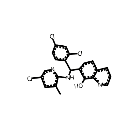 Cc1cc(Cl)cnc1NC(c1ccc(Cl)cc1Cl)c1ccc2cccnc2c1O